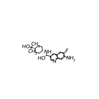 CC(C)(O)[C@H]1CC[C@H](NC(O)c2cnc3cc(N)c(F)cc3c2)CC1